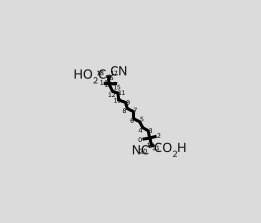 CC(C)(CCCCCCCCCCC(C)(C)C(C#N)C(=O)O)C(C#N)C(=O)O